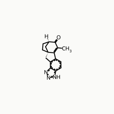 CC1=C2c3ccc4[nH]nnc4c3C[C@@]23CC[C@H](C3)C1=O